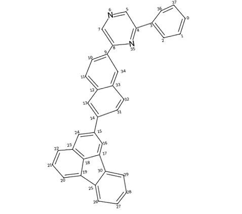 c1ccc(-c2cncc(-c3ccc4cc(-c5cc6c7c(cccc7c5)-c5ccccc5-6)ccc4c3)n2)cc1